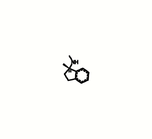 CN[C@@]1(C)CCc2ccccc21